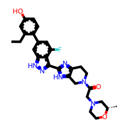 CCc1cc(O)ccc1-c1cc(F)c2c(-c3nc4c([nH]3)CN(C(=O)CN3CCO[C@@H](C)C3)CC4)n[nH]c2c1